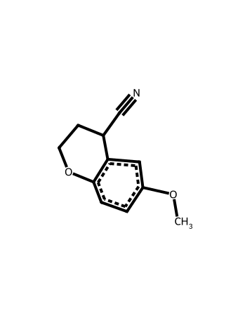 COc1ccc2c(c1)C(C#N)CCO2